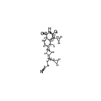 Cc1c(N2CC(N(CCC#N)C3CC3)C2)ccc2c(=O)[nH]c(=O)n(C3CC3)c12